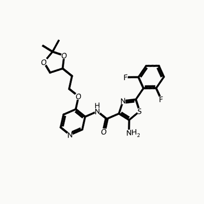 CC1(C)OCC(CCOc2ccncc2NC(=O)c2nc(-c3c(F)cccc3F)sc2N)O1